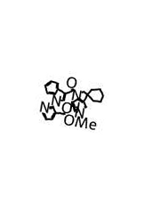 COC(=O)c1cccnc1-n1cc(C(=O)NCC2(c3cccnc3)CCCCC2)c2ccccc21